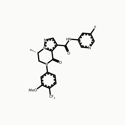 COc1cc(N2C[C@H](C)n3ncc(C(=O)Nc4cncc(F)c4)c3C2=O)ccc1C(F)(F)F